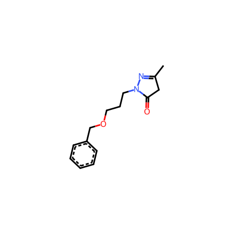 CC1=NN(CCCOCc2ccccc2)C(=O)C1